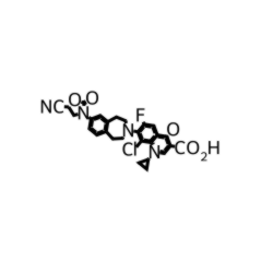 N#CC1CN(c2ccc3c(c2)CCN(c2c(F)cc4c(=O)c(C(=O)O)cn(C5CC5)c4c2Cl)CC3)C(=O)O1